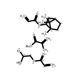 C=C(C)C(=O)OCC(C)C.C=CC(=O)OC1CC2CCC1(C)C2(C)C.C=CC(=O)OCC(CC)CCCC